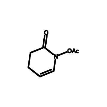 CC(=O)ON1C=CCCC1=O